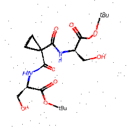 CC(C)(C)OC(=O)[C@@H](CO)NC(=O)C1(C(=O)N[C@H](CO)C(=O)OC(C)(C)C)CC1